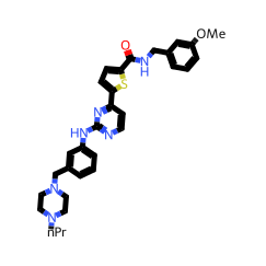 CCCN1CCN(Cc2cccc(Nc3nccc(-c4ccc(C(=O)NCc5cccc(OC)c5)s4)n3)c2)CC1